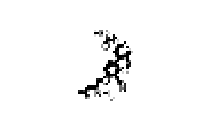 CC(C)C[C@H](N)COc1ccc2c(c1C#N)OCc1cnc(N(C)C(=O)O)cc1-2